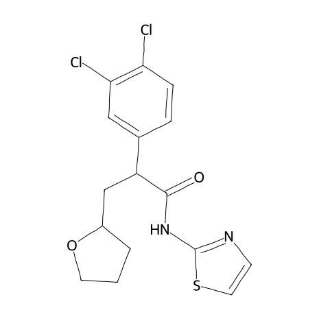 O=C(Nc1nccs1)C(CC1CCCO1)c1ccc(Cl)c(Cl)c1